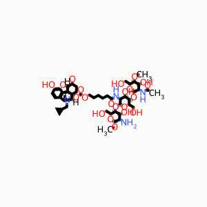 CO[C@@H]1OC(CO)[C@@H](O[C@@H]2OC(CO)[C@@H](O[C@@H]3OC(CO)[C@@H](OC)[C@H](O)C3NC(C)=O)[C@H](O)C2NC(=O)CCCCCOC(=O)O[C@@]23CCC(=O)[C@@H]4Oc5c(O)ccc6c5[C@@]42CCN(CC2CC2)[C@@H]3C6)[C@H](O)C1N